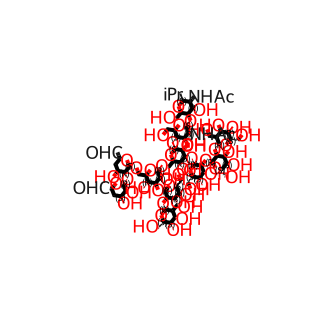 CC(=O)NC1[C@@H](O)C(O[C@@H]2OC(CO)[C@@H](O[C@@H]3OC(CO[C@@H]4OC(CO[C@H]5OC(C=O)CC(O)[C@H]5O[C@H]5OC(C=O)C[C@H](O)C5O)[C@@H](O)C(O[C@H]5O[C@@H](CO)[C@@H](O)[C@H](O)C5O[C@H]5O[C@@H](CO)[C@@H](O)C(O)C5CO)[C@H]4O)[C@@H](O)[C@H](O[C@H]4O[C@@H](CO)[C@@H](O)C(O)C4O[C@H]4O[C@@H](CO)[C@@H](O)C(O)C4O[C@H]4O[C@@H](CO)[C@H](O)C(O)C4CO)C3O)C(O)[C@@H]2NC(C)=O)C(CO)O[C@H]1C(C)C